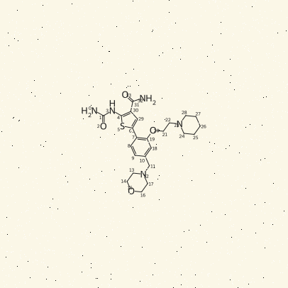 NC(=O)Nc1sc(-c2ccc(CN3CCOCC3)cc2OCCN2CCCCC2)cc1C(N)=O